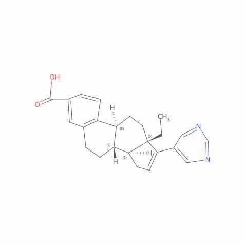 CC[C@]12CC[C@@H]3c4ccc(C(=O)O)cc4CC[C@H]3[C@@H]1CC=C2c1cncnc1